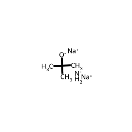 CC(C)(C)[O-].[NH2-].[Na+].[Na+]